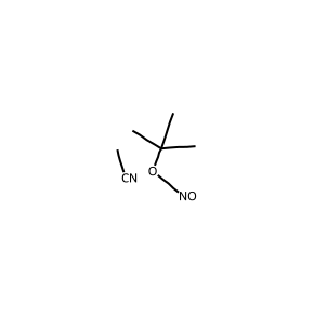 CC#N.CC(C)(C)ON=O